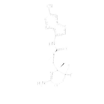 C[C@]1([C@@H]2C[C@H]2C(=O)Nc2csc3cc(C#N)cnc23)N=C(N)OCC1(F)F